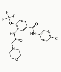 O=C(CN1CCOCC1)Nc1cc(C(=O)Nc2ccc(Cl)nc2)ccc1OC(F)(F)F